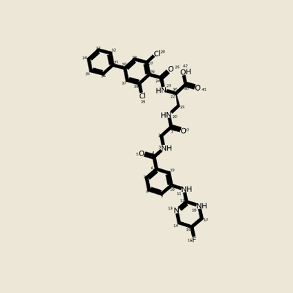 O=C(CNC(=O)c1cccc(NC2=NCC(F)CN2)c1)NC[C@@H](NC(=O)c1c(Cl)cc(-c2ccccc2)cc1Cl)C(=O)O